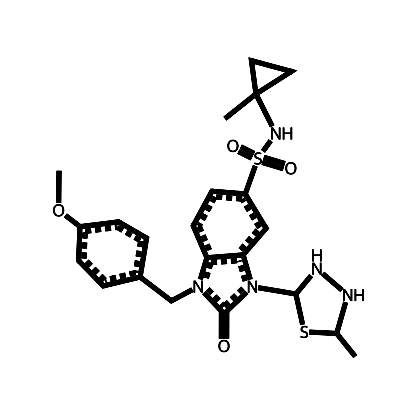 COc1ccc(Cn2c(=O)n(C3NNC(C)S3)c3cc(S(=O)(=O)NC4(C)CC4)ccc32)cc1